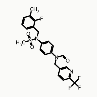 Cc1cccc(CN(c2ccc(N(C=O)Cc3ccc(C(F)(F)F)nc3)cc2)S(C)(=O)=O)c1F